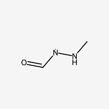 CN[N]C=O